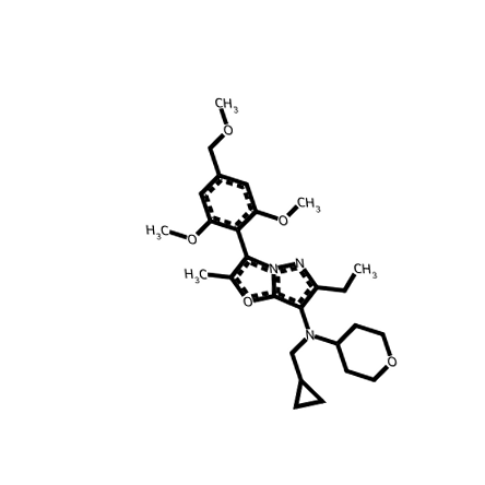 CCc1nn2c(-c3c(OC)cc(COC)cc3OC)c(C)oc2c1N(CC1CC1)C1CCOCC1